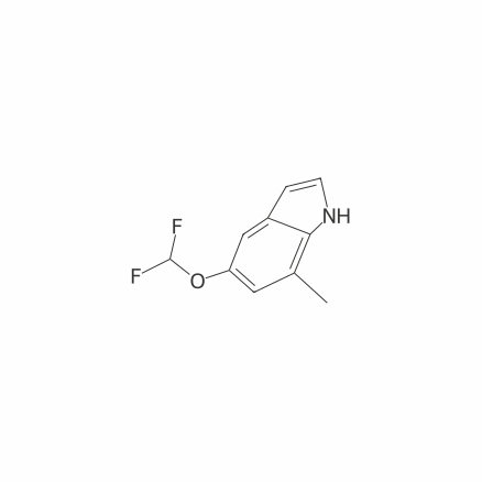 Cc1cc(OC(F)F)cc2cc[nH]c12